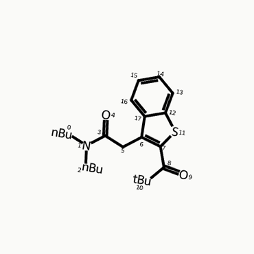 CCCCN(CCCC)C(=O)Cc1c(C(=O)C(C)(C)C)sc2ccccc12